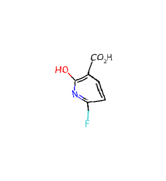 O=C(O)c1ccc(F)nc1O